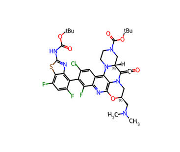 CN(C)C[C@@H]1CN2C(=C=O)[C@H]3CN(C(=O)OC(C)(C)C)CCN3c3c2c(nc2c(F)c(-c4c(F)cc(F)c5sc(NC(=O)OC(C)(C)C)nc45)c(Cl)cc32)O1